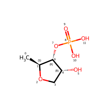 C[C@@H]1OC[C@@H](O)[C@H]1OP(=O)(O)O